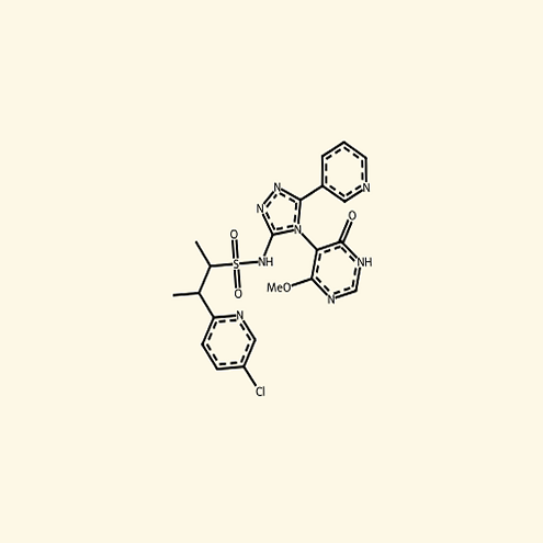 COc1nc[nH]c(=O)c1-n1c(NS(=O)(=O)C(C)C(C)c2ccc(Cl)cn2)nnc1-c1cccnc1